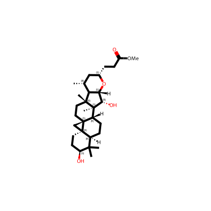 COC(=O)CC[C@H]1C[C@@H](C)C2[C@H](O1)[C@H](O)[C@@]1(C)[C@@H]3CC[C@H]4C(C)(C)[C@@H](O)CC[C@@]45C[C@@]35CC[C@]21C